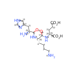 NCCCC[C@H](NC(=O)[C@@H](N)Cc1c[nH]cn1)C(=O)N[C@@H](CCC(=O)O)C(=O)O